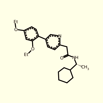 CCOc1ccc(-c2ccc(CC(=O)N[C@H](C)C3CCCCC3)nc2)c(OCC)c1